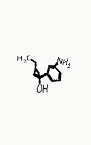 CCC1CC1(O)c1cccc(N)c1